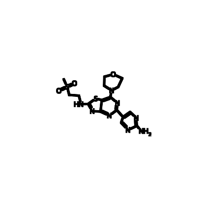 CS(=O)(=O)CCNc1nc2nc(-c3cnc(N)nc3)nc(N3CCOCC3)c2s1